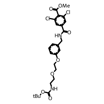 COC(=O)c1c(Cl)cc(C(=O)NCc2cccc(OCCOCCNC(=O)OC(C)(C)C)c2)cc1Cl